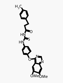 COc1cc2ncnc(Oc3ccc(NC(=S)NC(=O)CCc4ccc(C)cc4)cc3)c2cc1OC